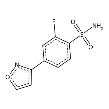 NS(=O)(=O)c1ccc(-c2ccon2)cc1F